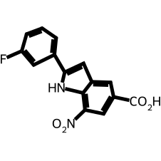 O=C(O)c1cc([N+](=O)[O-])c2[nH]c(-c3cccc(F)c3)cc2c1